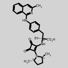 CC[C@@](Cc1ccc(Nc2nc(C)cc3ccccc23)cc1)(Nc1c(N2[C@@H](C)CC[C@@H]2C)c(=O)c1=O)C(=O)O